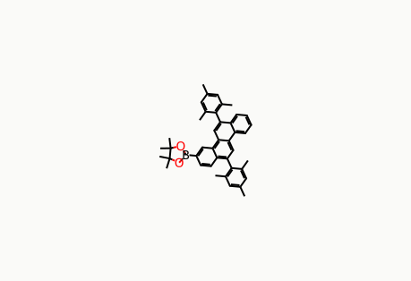 Cc1cc(C)c(-c2cc3c4cc(B5OC(C)(C)C(C)(C)O5)ccc4c(-c4c(C)cc(C)cc4C)cc3c3ccccc23)c(C)c1